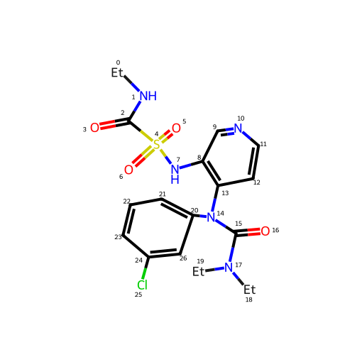 CCNC(=O)S(=O)(=O)Nc1cnccc1N(C(=O)N(CC)CC)c1cccc(Cl)c1